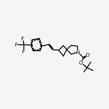 CC(C)(C)OC(=O)N1CCC2(CC(C=Cc3ccc(C(F)(F)F)cc3)C2)C1